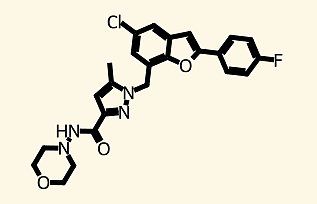 Cc1cc(C(=O)NN2CCOCC2)nn1Cc1cc(Cl)cc2cc(-c3ccc(F)cc3)oc12